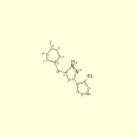 CCc1cnccc1-c1cc(Cc2ccc(C)cc2)[nH]n1